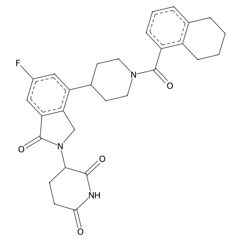 O=C1CCC(N2Cc3c(cc(F)cc3C3CCN(C(=O)c4cccc5c4CCCC5)CC3)C2=O)C(=O)N1